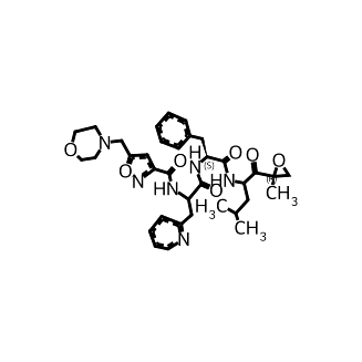 CC(C)CC(NC(=O)[C@H](Cc1ccccc1)NC(=O)C(Cc1ccccn1)NC(=O)c1cc(CN2CCOCC2)on1)C(=O)[C@@]1(C)CO1